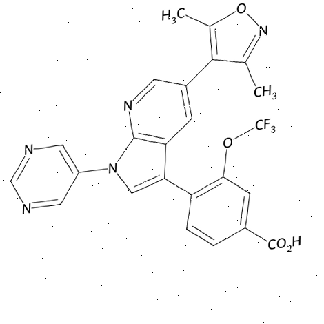 Cc1noc(C)c1-c1cnc2c(c1)c(-c1ccc(C(=O)O)cc1OC(F)(F)F)cn2-c1cncnc1